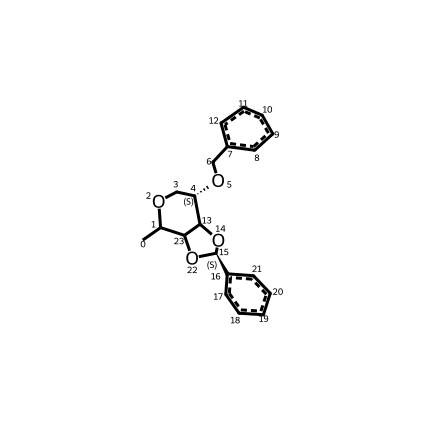 CC1OC[C@H](OCc2ccccc2)C2O[C@@H](c3ccccc3)OC12